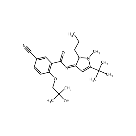 CCCn1c(=NC(=O)c2cc(C#N)ccc2OCC(C)(C)O)cc(C(C)(C)C)n1C